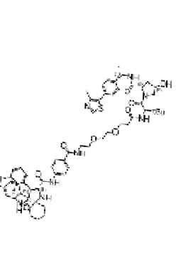 Cc1ncsc1-c1ccc([C@H](C)NC(=O)[C@@H]2C[C@@H](O)CN2C(=O)C(NC(=O)CCOCCOCCNC(=O)c2ccc(NC(=O)[C@@H]3NC4(CCCCC4)[C@@]4(C(=O)Nc5cc(Cl)ccc54)[C@H]3c3cccc(Cl)c3F)cc2)C(C)(C)C)cc1